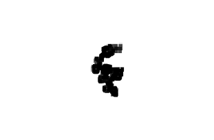 CCOC(=O)CCN1CC(=O)Nc2ccc(C(=O)N(C)CCC3CCNCC3)cc2C1=O